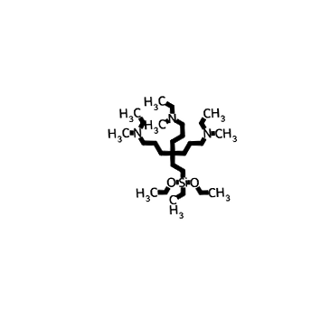 CCO[Si](CC)(CCC(CCCN(C)CC)(CCCN(C)CC)CCCN(C)CC)OCC